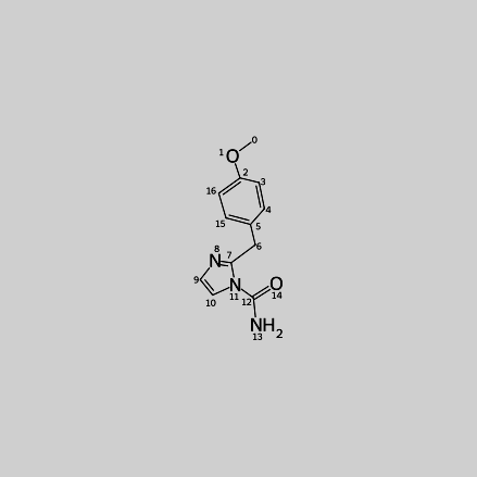 COc1ccc(Cc2nccn2C(N)=O)cc1